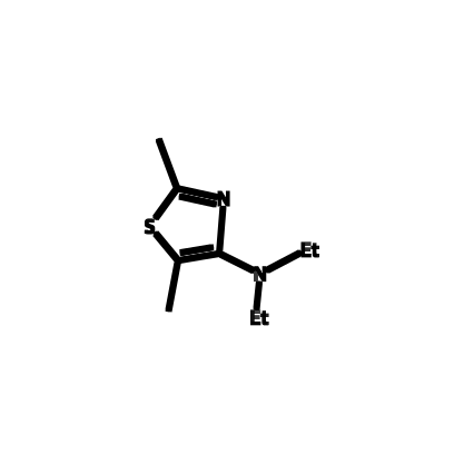 CCN(CC)c1nc(C)sc1C